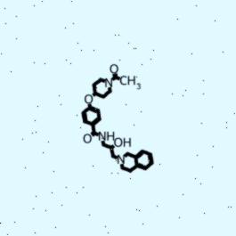 CC(=O)N1CCC(Oc2ccc(C(=O)NCC(O)CN3CCc4ccccc4C3)cc2)CC1